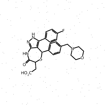 O=C(O)CC1SC(c2ccc(CN3CCOCC3)cc2)c2c(n[nH]c2-c2ccc(F)cc2)NC1=O